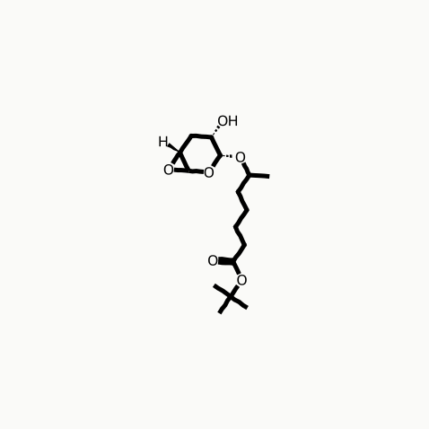 CC(CCCCC(=O)OC(C)(C)C)O[C@@H]1OC2O[C@@H]2C[C@@H]1O